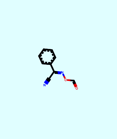 N#CC(=NOC=O)c1ccccc1